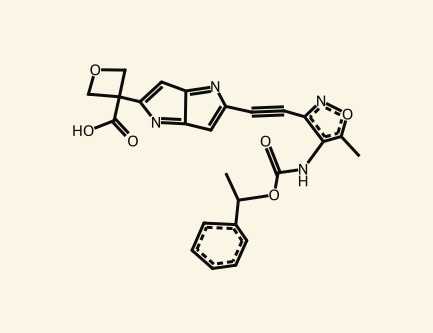 Cc1onc(C#CC2=CC3=NC(C4(C(=O)O)COC4)=CC3=N2)c1NC(=O)OC(C)c1ccccc1